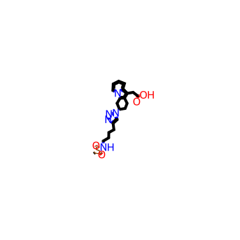 CS(=O)(=O)NCCCCc1cn(C2CCc3c(CC(=O)O)c4ccccn4c3C2)nn1